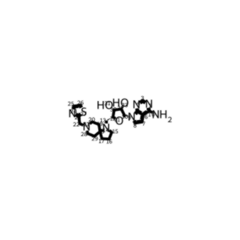 Nc1ncnc2c1ccn2[C@@H]1O[C@H](CN2CCCC23CCN(Cc2nccs2)CC3)[C@@H](O)[C@H]1O